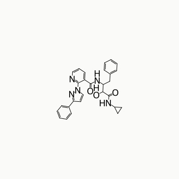 O=C(NC(Cc1ccccc1)C(O)C(=O)NC1CC1)c1cccnc1-n1ccc(-c2ccccc2)n1